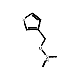 C[SiH](C)OCc1ccsc1